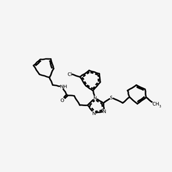 CC1=CC(CSc2nnc(CCC(=O)NCC3C=CC=CC3)n2-c2cccc(Cl)c2)CC=C1